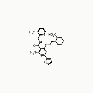 Cc1cccnc1CNC(=O)c1c(N)nc(-c2ccco2)nc1OCCC1CCCCN1C(=O)O